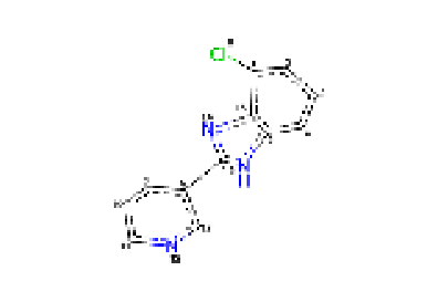 Clc1cccc2[nH]c(-c3cccnc3)nc12